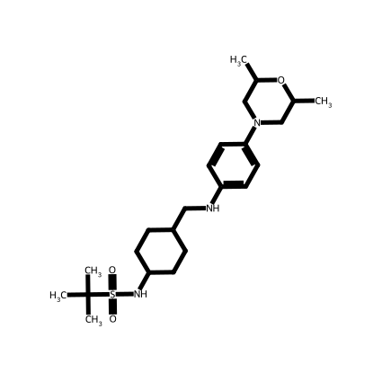 CC1CN(c2ccc(NCC3CCC(NS(=O)(=O)C(C)(C)C)CC3)cc2)CC(C)O1